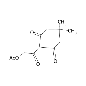 CC(=O)OCC(=O)C1C(=O)CC(C)(C)CC1=O